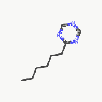 CCCCC[CH]c1ncncn1